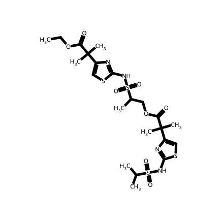 CCOC(=O)C(C)(C)c1csc(NS(=O)(=O)C(C)COC(=O)C(C)(C)c2csc(NS(=O)(=O)C(C)C)n2)n1